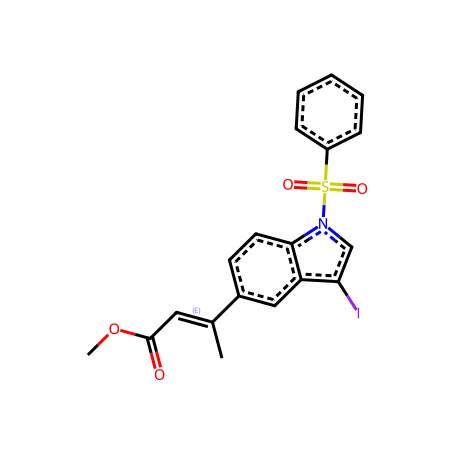 COC(=O)/C=C(\C)c1ccc2c(c1)c(I)cn2S(=O)(=O)c1ccccc1